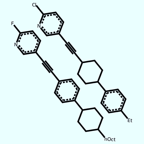 CCCCCCCCC1CCC(c2ccc(C#Cc3ccc(F)nc3)cc2)CC1.CCc1ccc(C2CCC(C#Cc3ccc(Cl)nc3)CC2)cc1